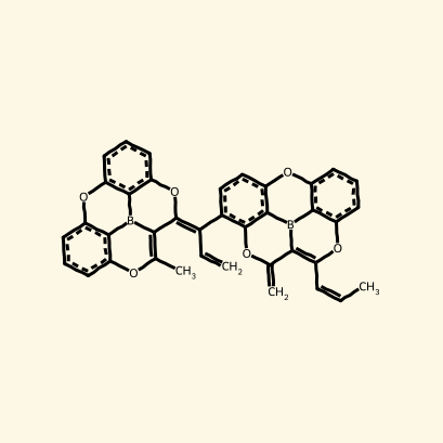 C=C/C(=C1/Oc2cccc3c2B2C1=C(C)Oc1cccc(c12)O3)c1ccc2c3c1OC(=C)C1=C(/C=C\C)Oc4cccc(c4B13)O2